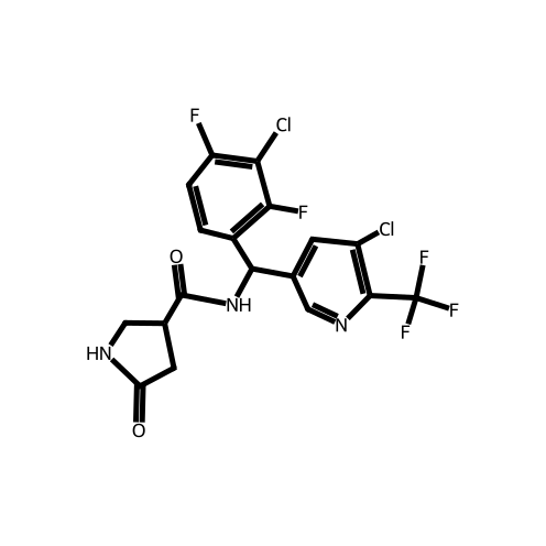 O=C1CC(C(=O)NC(c2cnc(C(F)(F)F)c(Cl)c2)c2ccc(F)c(Cl)c2F)CN1